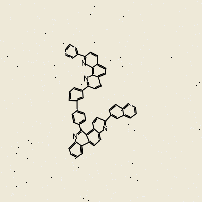 c1ccc(-c2ccc3ccc4ccc(-c5cccc(-c6ccc(-c7nc8ccccc8c8ccc9nc(-c%10ccc%11ccccc%11c%10)ccc9c78)cc6)c5)nc4c3n2)cc1